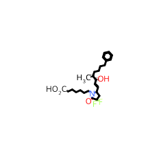 C[C@@H](CCCCc1ccccc1)[C@H](O)C=CC1CC(F)(F)C(=O)N1CCCCCCC(=O)O